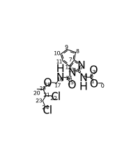 COC(=O)Nc1nc2ccccc2n1C(=O)NCOC(C)C(Cl)CCl